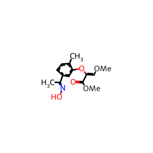 CO/C=C(\Oc1cc(C(C)=NO)ccc1C)C(=O)OC